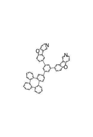 c1ccc2c(c1)-c1ccccc1-c1ccc(-c3cc(-c4ccc5oc6ccncc6c5c4)cc(-c4ccc5oc6ccncc6c5c4)c3)cc1-c1ccccc1-2